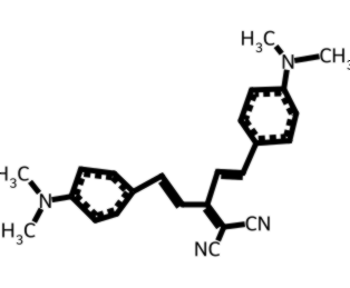 CN(C)c1ccc(/C=C/C(/C=C/c2ccc(N(C)C)cc2)=C(C#N)C#N)cc1